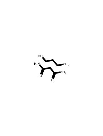 CCCCO.NC(=O)CC(N)=O